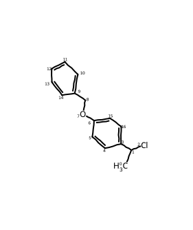 CC(Cl)c1ccc(OCc2ccccc2)cc1